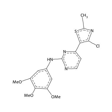 COc1cc(Nc2nccc(-c3sc(C)nc3Cl)n2)cc(OC)c1OC